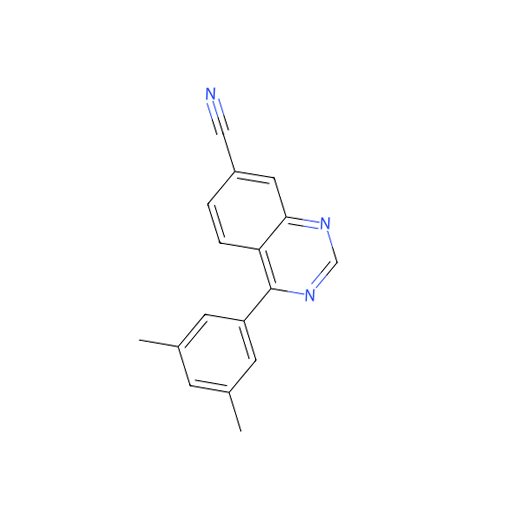 Cc1cc(C)cc(-c2ncnc3cc(C#N)ccc23)c1